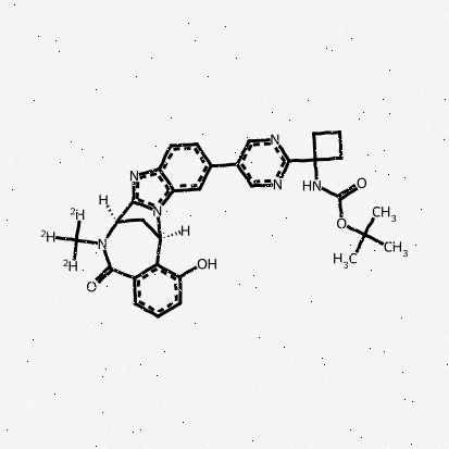 [2H]C([2H])([2H])N1C(=O)c2cccc(O)c2[C@H]2C[C@@H]1c1nc3ccc(-c4cnc(C5(NC(=O)OC(C)(C)C)CCC5)nc4)cc3n12